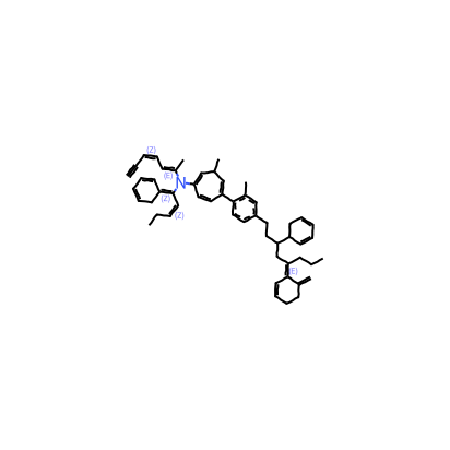 C#C/C=C\C=C(/C)N(C1=CC(C)C=C(c2ccc(CCC(C/C(CCC)=C3\C=CCCC3=C)C3C=CC=CC3)cc2C)C=C1)C(/C=C\CC)=C1\C=CC=CC1